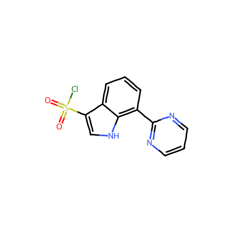 O=S(=O)(Cl)c1c[nH]c2c(-c3ncccn3)cccc12